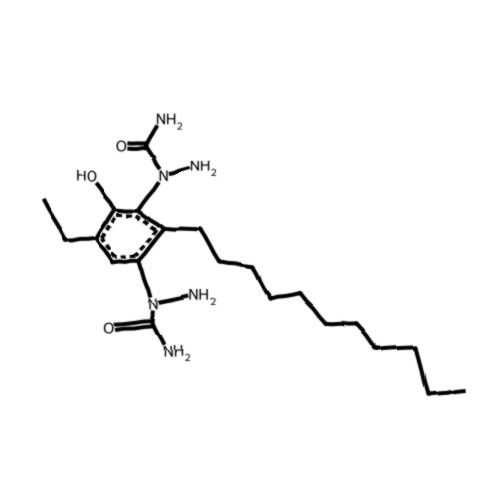 CCCCCCCCCCCc1c(N(N)C(N)=O)cc(CC)c(O)c1N(N)C(N)=O